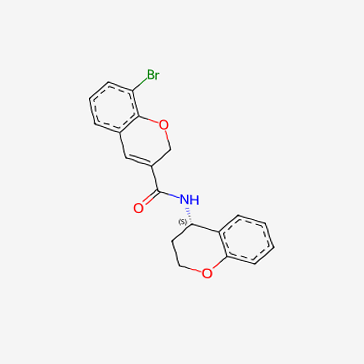 O=C(N[C@H]1CCOc2ccccc21)C1=Cc2cccc(Br)c2OC1